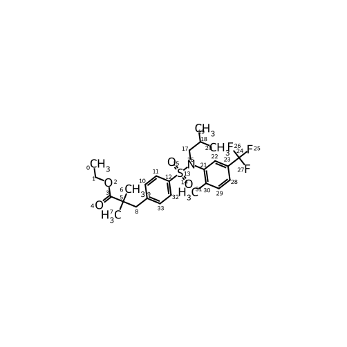 CCOC(=O)C(C)(C)Cc1ccc(S(=O)(=O)N(CC(C)C)c2cc(C(F)(F)F)ccc2C)cc1